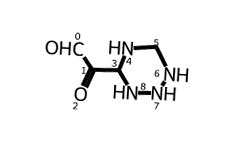 O=CC(=O)C1NCNNN1